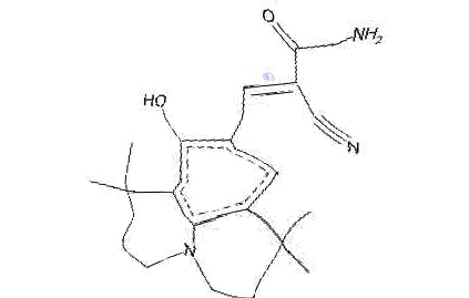 CC1(C)CCN2CCC(C)(C)c3c(O)c(/C=C(\C#N)C(N)=O)cc1c32